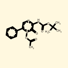 CC(=O)On1c(-c2ccccc2)cnc(NC(=O)OC(C)(C)C)c1=O